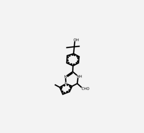 Cc1ccc2n1N=C(c1ccc(C(C)(C)O)cc1)NC2C=O